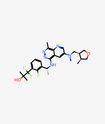 Cc1nnc(N[C@H](C)c2cccc(C(F)(F)C(C)(C)O)c2F)c2cc(N(C)C[C@H]3COC[C@H]3C)cnc12